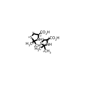 CC1(C)NC(C(=O)O)CS1.CC1(C)N[C@H](C(=O)O)CS1